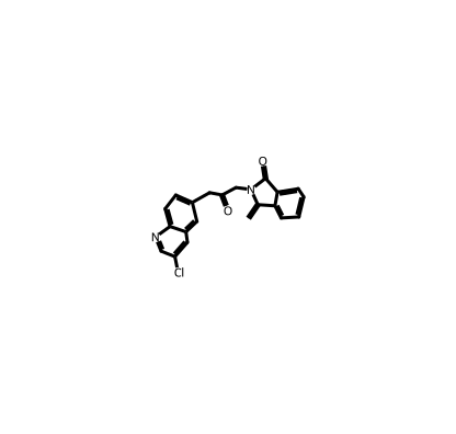 C=C1c2ccccc2C(=O)N1CC(=O)Cc1ccc2ncc(Cl)cc2c1